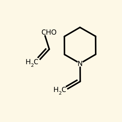 C=CC=O.C=CN1CCCCC1